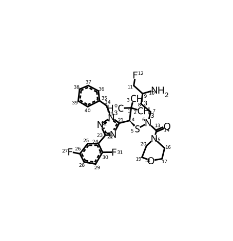 CC(C)(C)[C@@H](SN(CCC(N)CF)C(=O)N1CCOCC1)c1nc(-c2cc(F)ccc2F)nn1Cc1ccccc1